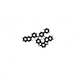 c1ccc(-c2ccc(N(c3cccc(-c4ccc5ccccc5c4)c3)c3ccc4oc5ccc6sc7c8ccccc8ccc7c6c5c4c3)cc2)cc1